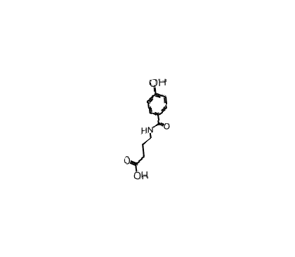 O=C(O)CCCNC(=O)c1ccc(O)cc1